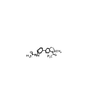 CC(=O)Nc1cccc(-c2ccc3c(c2)CC[C@@H](C)N3C(C)=O)c1